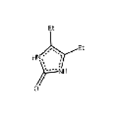 CCc1[nH]c(=O)[nH]c1CC